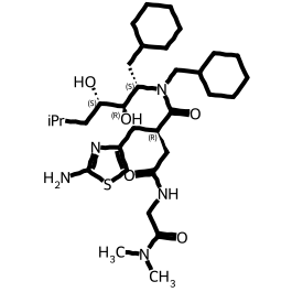 CC(C)C[C@H](O)[C@H](O)[C@H](CC1CCCCC1)N(CC1CCCCC1)C(=O)[C@@H](CC(=O)NCC(=O)N(C)C)Cc1csc(N)n1